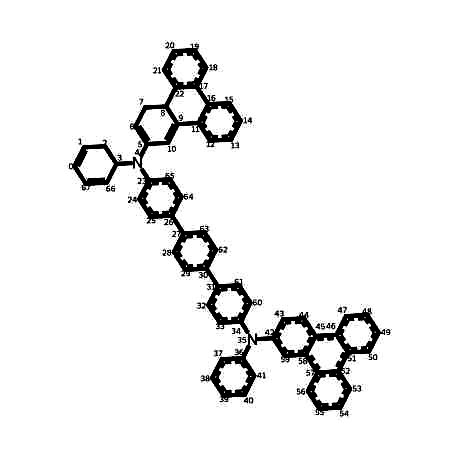 C1=CCC(N(C2=CCC3C(=C2)c2ccccc2-c2ccccc23)c2ccc(-c3ccc(-c4ccc(N(c5ccccc5)c5ccc6c7ccccc7c7ccccc7c6c5)cc4)cc3)cc2)C=C1